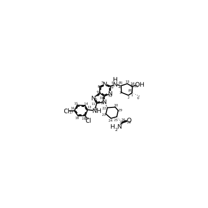 C[C@@H]1CC[C@@H](Nc2ncc3nc(Nc4ccc(Cl)cc4Cl)n([C@H]4CC[C@@H](C(N)=O)CC4)c3n2)C[C@H]1O